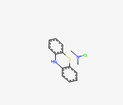 CN(C)Cl.c1ccc2c(c1)Nc1ccccc1S2